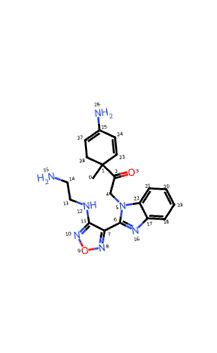 CC1(C(=O)Cn2c(-c3nonc3NCCN)nc3ccccc32)C=CC(N)=CC1